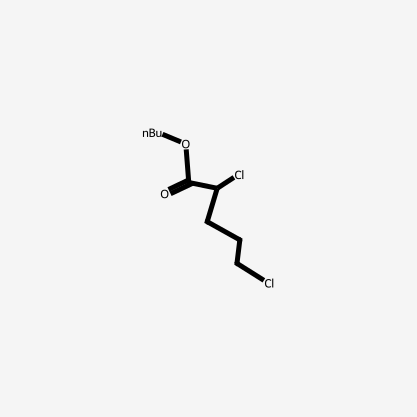 CCCCOC(=O)C(Cl)CCCCl